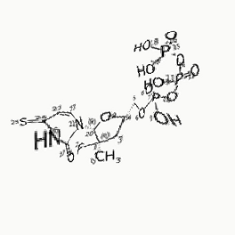 C[C@@]1(F)C[C@@H](COP(=O)(O)OP(=O)(O)OP(=O)(O)O)O[C@H]1n1ccc(=S)[nH]c1=O